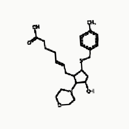 Cc1ccc(CSC2CC(O)C(N3CCOCC3)C2CC=CCCCC(=O)O)cc1